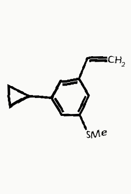 C=Cc1cc(SC)cc(C2CC2)c1